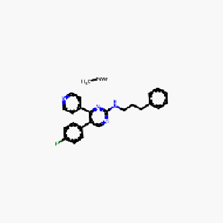 CNC.Fc1ccc(-c2cnc(NCCCc3ccccc3)nc2-c2ccncc2)cc1